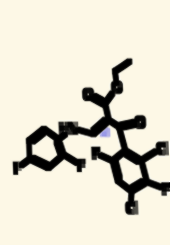 CCOC(=O)/C(=C\Nc1ccc(F)cc1F)C(=O)c1c(F)cc(Cl)c(F)c1Cl